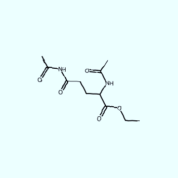 CCOC(=O)C(CCC(=O)NC(C)=O)NC(C)=O